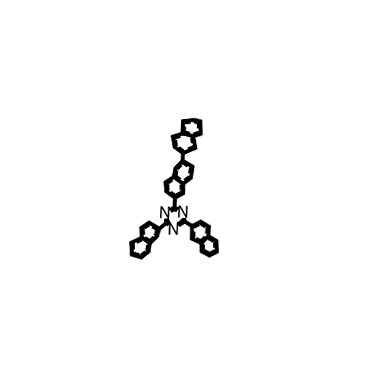 c1ccc2cc(-c3ccc4cc(-c5nc(-c6ccc7ccccc7c6)nc(-c6ccc7ccccc7c6)n5)ccc4c3)ccc2c1